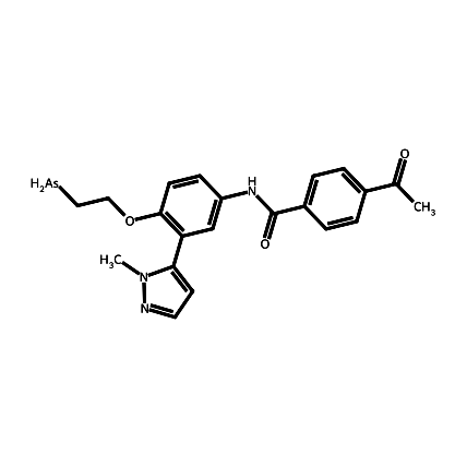 CC(=O)c1ccc(C(=O)Nc2ccc(OCC[AsH2])c(-c3ccnn3C)c2)cc1